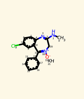 CNC1=Nc2ccc(Cl)cc2C(c2ccccc2)=[N+]([O-])C1.[KH]